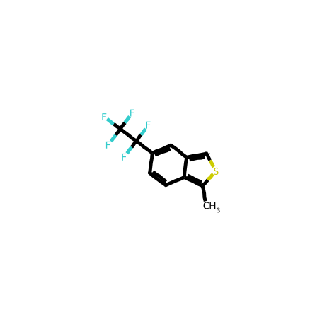 Cc1s[c]c2cc(C(F)(F)C(F)(F)F)ccc12